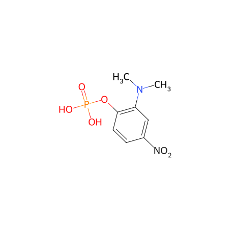 CN(C)c1cc([N+](=O)[O-])ccc1OP(=O)(O)O